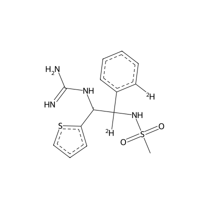 [2H]c1ccccc1C([2H])(NS(C)(=O)=O)[C](NC(=N)N)c1cccs1